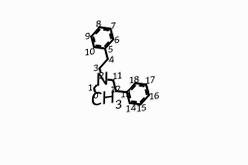 CCN(CCc1ccccc1)CCc1ccccc1